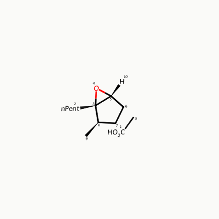 CC(=O)O.CCCCC[C@@]12O[C@@H]1CC[C@H]2C